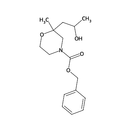 CC(O)CC1(C)CN(C(=O)OCc2ccccc2)CCO1